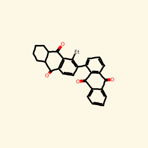 CCc1c(-c2cccc3c2C(=O)c2ccccc2C3=O)ccc2c1C(=O)C1CCCCC1C2=O